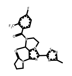 Cc1nsc(-c2nc(N3CCCC3=O)c3n2CCN(C(=O)c2ccc(F)cc2C(F)(F)F)C3C)n1